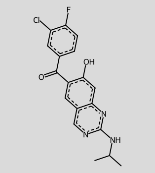 CC(C)Nc1ncc2cc(C(=O)c3ccc(F)c(Cl)c3)c(O)cc2n1